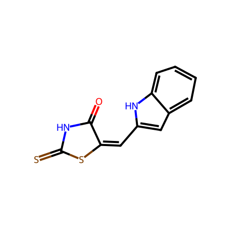 O=C1NC(=S)SC1=Cc1cc2ccccc2[nH]1